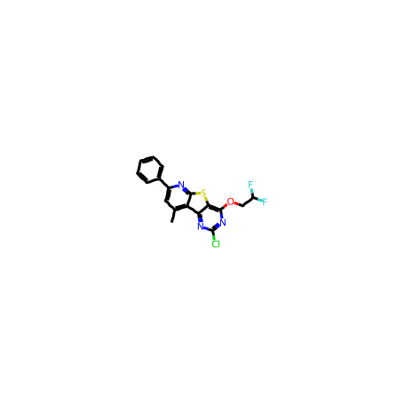 Cc1cc(-c2ccccc2)nc2sc3c(OCC(F)F)nc(Cl)nc3c12